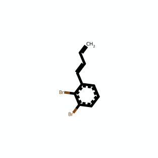 C=C/C=C/c1cccc(Br)c1Br